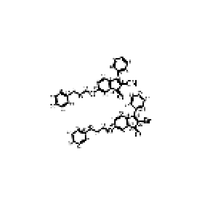 N#CC1=C(c2ccccc2)c2ccc(OCCCc3ccccc3)cc2C1=O.O=C1C(Br)=C(c2ccccc2)c2ccc(OCCCc3ccccc3)cc21